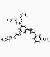 CCCN(CCC)c1cc(N/N=C/c2cccc(C)c2)nc(OCCNCC)c1